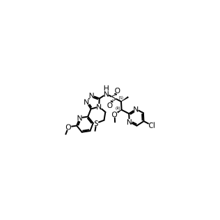 COc1cccc(-c2nnc(NS(=O)(=O)[C@@H](C)[C@H](OC)c3ncc(Cl)cn3)n2CCSC)n1